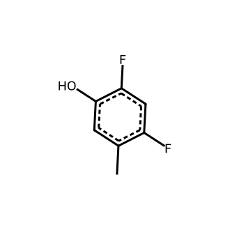 Cc1cc(O)c(F)cc1F